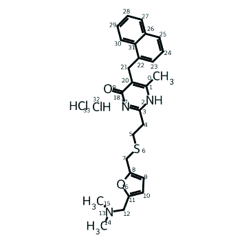 Cc1[nH]c(CCSCc2ccc(CN(C)C)o2)nc(=O)c1Cc1cccc2ccccc12.Cl.Cl